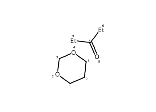 C1COCOC1.CCC(=O)CC